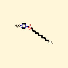 CCCCCCCCCCCCOC(=O)N1CCN(C)CC1